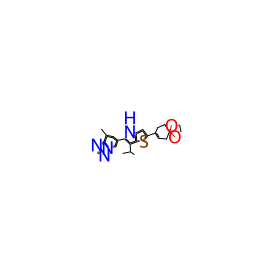 Cc1cc(-c2[nH]c3cc(C4=CCC5(CC4)OCCO5)sc3c2C(C)C)cn2ncnc12